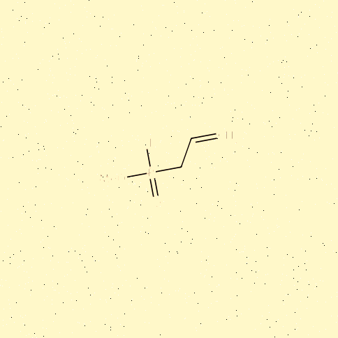 C=CCP(=O)(Cl)OC